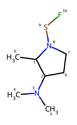 CC1C(N(C)C)CCN1SF